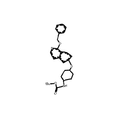 CC(C)(C)OC(=O)NC1CCC(Oc2ccc3c(OCc4ccccc4)nccc3c2)CC1